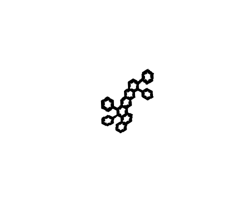 c1ccc(-c2ccc3cc4cc5c(-c6ccccc6)c(-c6ccccc6)c6c7ccccc7ccc6c5cc4cc3c2-c2ccccc2)cc1